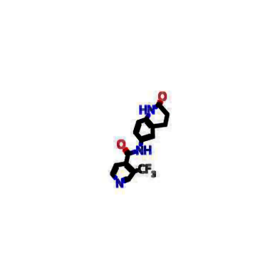 O=C1CCc2cc(NC(=O)c3ccncc3C(F)(F)F)ccc2N1